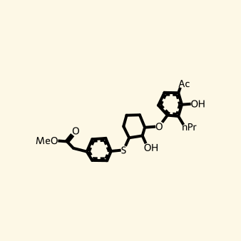 CCCc1c(OC2CCCC(Sc3ccc(CC(=O)OC)cc3)C2O)ccc(C(C)=O)c1O